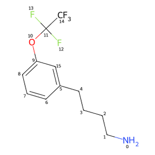 NCCCCc1cccc(OC(F)(F)C(F)(F)F)c1